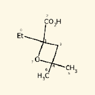 CCC1(C(=O)O)CC(C)(C)O1